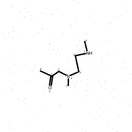 CNCCN(C)CC(C)=O